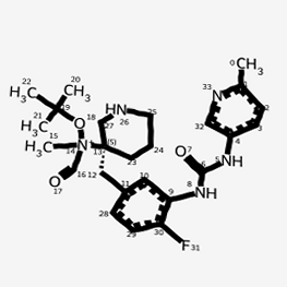 Cc1ccc(NC(=O)Nc2cc(C[C@@]3([N+](C)(C=O)OC(C)(C)C)CCCNC3)ccc2F)cn1